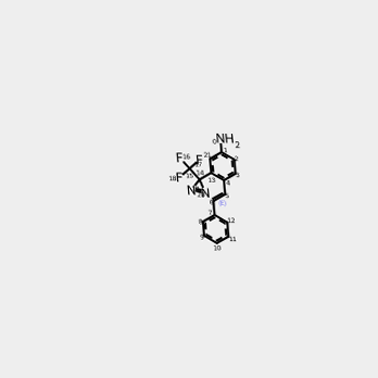 Nc1ccc(/C=C/c2ccccc2)c(C2(C(F)(F)F)N=N2)c1